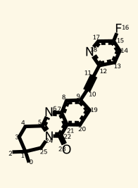 CC1(C)CCc2nc3cc(C#Cc4ccc(F)cn4)ccc3c(=O)n2C1